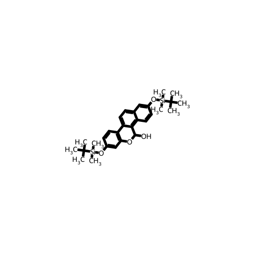 CC(C)(C)[Si](C)(C)Oc1ccc2c(c1)OC(O)c1c-2ccc2cc(O[Si](C)(C)C(C)(C)C)ccc12